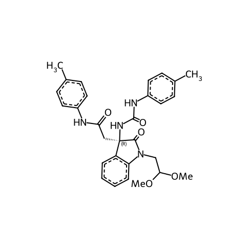 COC(CN1C(=O)[C@](CC(=O)Nc2ccc(C)cc2)(NC(=O)Nc2ccc(C)cc2)c2ccccc21)OC